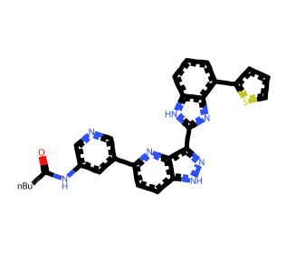 CCCCC(=O)Nc1cncc(-c2ccc3[nH]nc(-c4nc5c(-c6cccs6)cccc5[nH]4)c3n2)c1